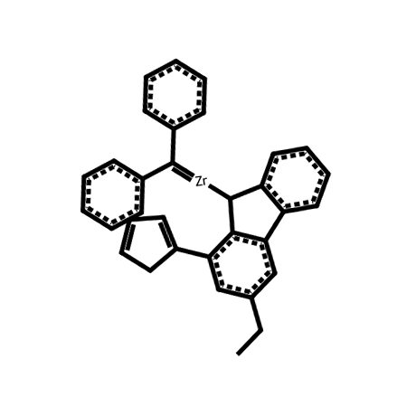 CCc1cc(C2=CC=CC2)c2c(c1)-c1ccccc1[CH]2[Zr]=[C](c1ccccc1)c1ccccc1